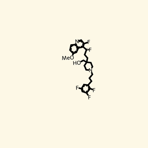 COc1ccc2ncc(F)c([C@@H](F)CCC3(CO)CCN(CCCc4cc(F)cc(F)c4F)CC3)c2c1